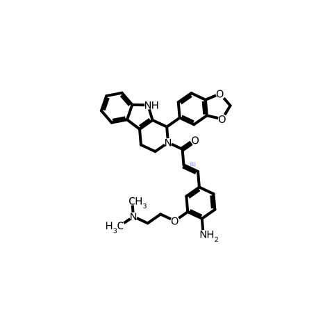 CN(C)CCOc1cc(/C=C/C(=O)N2CCc3c([nH]c4ccccc34)C2c2ccc3c(c2)OCO3)ccc1N